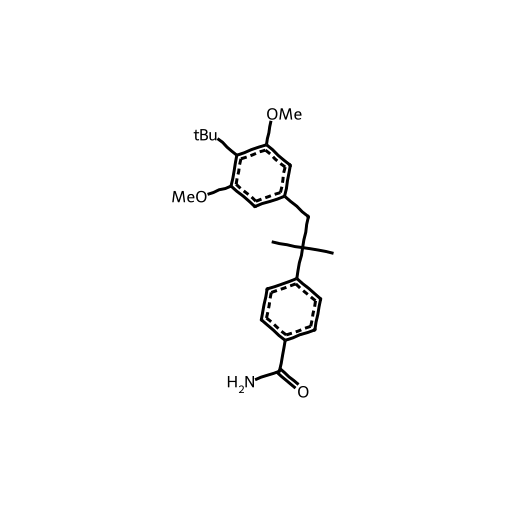 COc1cc(CC(C)(C)c2ccc(C(N)=O)cc2)cc(OC)c1C(C)(C)C